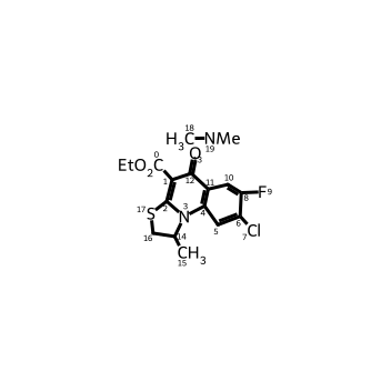 CCOC(=O)c1c2n(c3cc(Cl)c(F)cc3c1=O)C(C)CS2.CNC